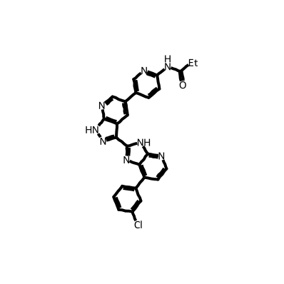 CCC(=O)Nc1ccc(-c2cnc3[nH]nc(-c4nc5c(-c6cccc(Cl)c6)ccnc5[nH]4)c3c2)cn1